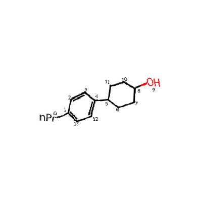 CCCc1ccc(C2CCC(O)CC2)cc1